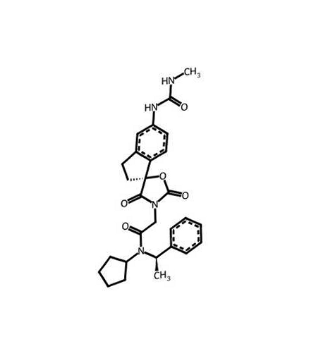 CNC(=O)Nc1ccc2c(c1)CC[C@@]21OC(=O)N(CC(=O)N(C2CCCC2)[C@H](C)c2ccccc2)C1=O